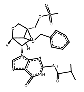 CC(C)C(=O)Nc1nc2c(ncn2[C@@H]2O[C@]3(COS(C)(=O)=O)CO[C@@H]2[C@@H]3OCc2ccccc2)c(=O)[nH]1